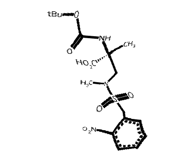 CN(C[C@](C)(NC(=O)OC(C)(C)C)C(=O)O)S(=O)(=O)c1ccccc1[N+](=O)[O-]